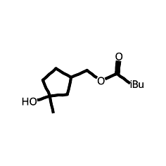 CCC(C)C(=O)OCC1CCC(C)(O)C1